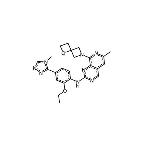 CCOc1cc(-c2nncn2C)ccc1Nc1ncc2cc(C)nc(N3CC4(CCO4)C3)c2n1